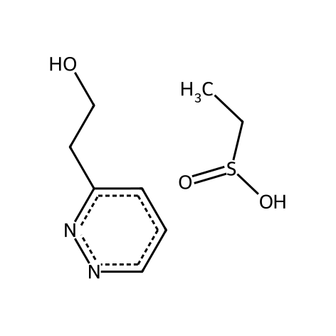 CCS(=O)O.OCCc1cccnn1